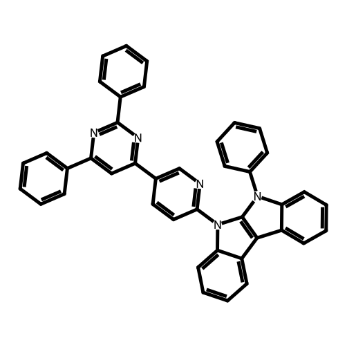 c1ccc(-c2cc(-c3ccc(-n4c5ccccc5c5c6ccccc6n(-c6ccccc6)c54)nc3)nc(-c3ccccc3)n2)cc1